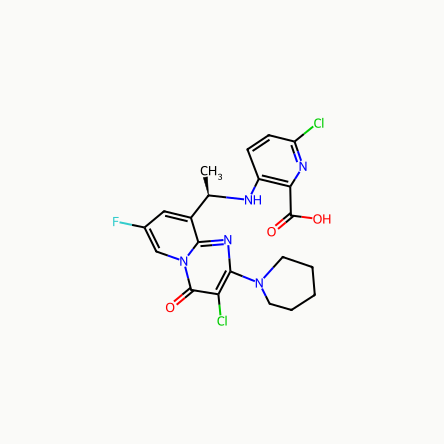 C[C@@H](Nc1ccc(Cl)nc1C(=O)O)c1cc(F)cn2c(=O)c(Cl)c(N3CCCCC3)nc12